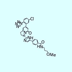 COCCCNC(=O)c1ccc(-c2cnc([C@@H]3CCc4cc(-c5cc(Cl)ccc5-n5cnnn5)cc(=O)n43)[nH]2)cc1